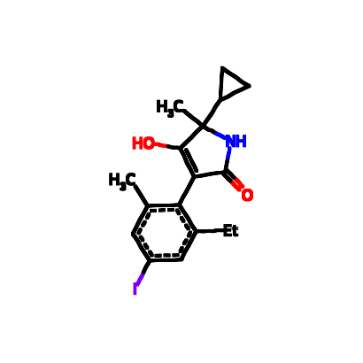 CCc1cc(I)cc(C)c1C1=C(O)C(C)(C2CC2)NC1=O